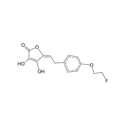 O=C1O/C(=C/Cc2ccc(OCCF)cc2)C(O)=C1O